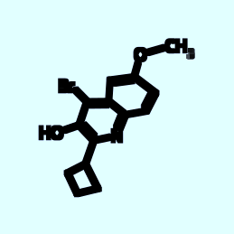 COc1ccc2nc(C3CCC3)c(O)c(Br)c2c1